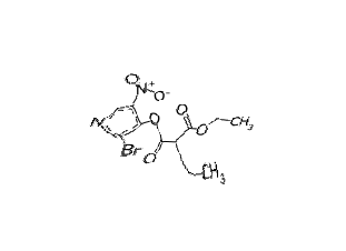 CCOC(=O)C(CC)C(=O)Oc1c(Br)cncc1[N+](=O)[O-]